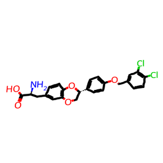 N[C@@H](Cc1ccc2c(c1)OC[C@@H](c1ccc(OCc3ccc(Cl)c(Cl)c3)cc1)O2)C(=O)O